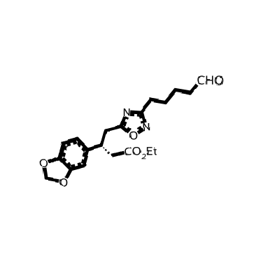 CCOC(=O)C[C@@H](Cc1nc(CCCCC=O)no1)c1ccc2c(c1)OCO2